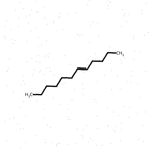 CCCC/C=C/CCCCCC